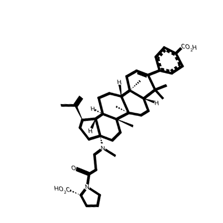 C=C(C)[C@@H]1CC[C@]2(N(C)CCC(=O)N3CCC[C@@H]3C(=O)O)CC[C@]3(C)[C@H](CC[C@@H]4[C@@]5(C)CC=C(c6ccc(C(=O)O)cc6)C(C)(C)[C@@H]5CC[C@]43C)[C@@H]12